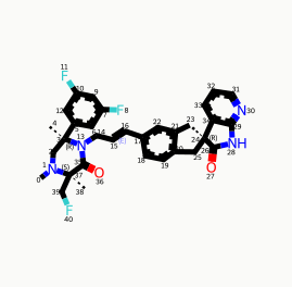 CN1C[C@@](C)(c2cc(F)cc(F)c2)N(C/C=C/c2ccc3c(c2)C[C@@]2(C3)C(=O)Nc3ncccc32)C(=O)[C@@]1(C)CF